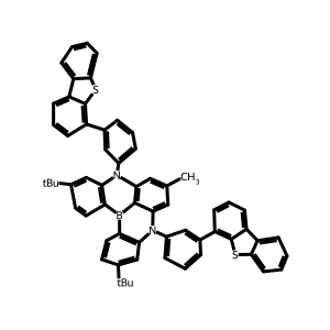 Cc1cc2c3c(c1)N(c1cccc(-c4cccc5c4sc4ccccc45)c1)c1cc(C(C)(C)C)ccc1B3c1ccc(C(C)(C)C)cc1N2c1cccc(-c2cccc3c2sc2ccccc23)c1